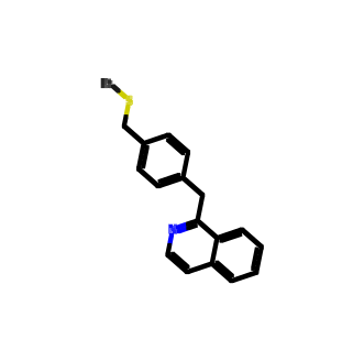 CCSCc1ccc(Cc2nccc3ccccc23)cc1